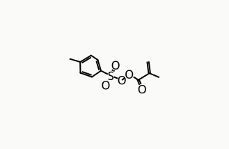 C=C(C)C(=O)OOS(=O)(=O)c1ccc(C)cc1